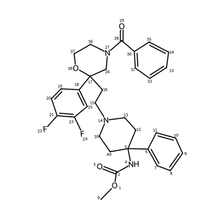 COC(=O)NC1(c2ccccc2)CCN(CCC2(c3ccc(F)c(F)c3)CN(C(=O)c3ccccc3)CCO2)CC1